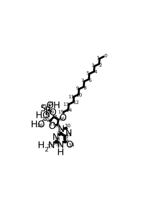 CCCCCCCCCCCCCCCCO[C@@H]1[C@H](OP(O)(O)=S)[C@@H](CO)O[C@H]1n1cnc2c(=O)[nH]c(N)nc21